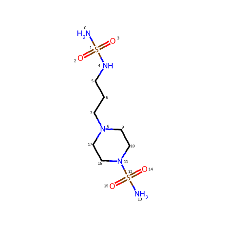 NS(=O)(=O)NCCCN1CCN(S(N)(=O)=O)CC1